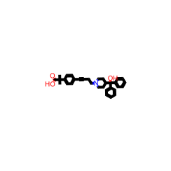 CC(C)(C(=O)O)c1ccc(C#CCCN2CCC(C(O)(c3ccccc3)c3ccccc3)CC2)cc1